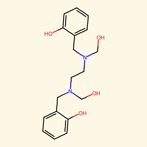 OCN(CCN(CO)Cc1ccccc1O)Cc1ccccc1O